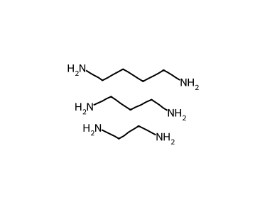 NCCCCN.NCCCN.NCCN